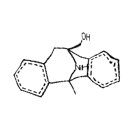 CC12NC(O)(Cc3ccccc31)c1ccccc12